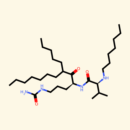 CCCCCCCN[C@H](C(=O)N[C@@H](CCCNC(N)=O)C(=O)C(CCCCC)CCCCCCC)C(C)C